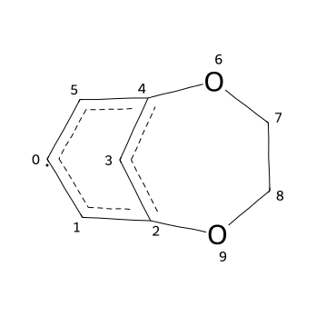 [c]1cc2cc(c1)OCCO2